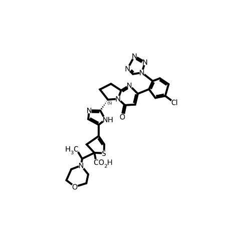 CC(N1CCOCC1)C1(C(=O)O)CC(c2cnc([C@@H]3CCc4nc(-c5cc(Cl)ccc5-n5cnnn5)cc(=O)n43)[nH]2)=CS1